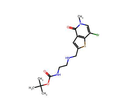 Cn1cc(Br)c2sc(CNCCNC(=O)OC(C)(C)C)cc2c1=O